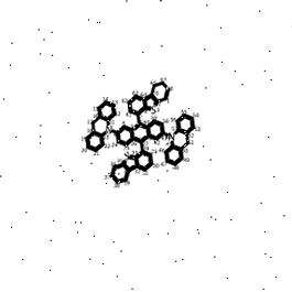 C1=Cc2sc3c(-c4c5cc(N6c7ccccc7Cc7ccccc76)ccc5c(-c5cccc6c5sc5ccccc56)c5cc(N6c7ccccc7Cc7ccccc76)ccc45)cccc3c2CC1